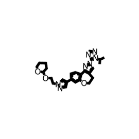 CC(C)n1ncnc1-n1cc2c(n1)-c1ccc(-c3cnn(CCOC4CCCCO4)c3)cc1OCC2